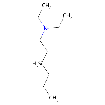 CCC[SiH2]CCN(CC)CC